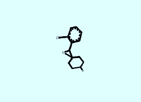 FC1CCC2(CC1)OC2c1ccccc1Cl